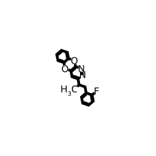 CC(Cc1ccccc1F)c1cc2c(nn1)Oc1ccccc1O2